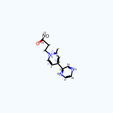 C\C=C(/C=C\[N+](=C\C)CCC(=O)N=O)c1cnccn1